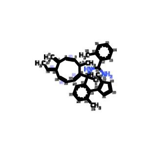 C=C1/C=C\C(C)\C(C(C)(NC(N)c2ccccc2C)c2cccc(C)c2C2=C(C)C=C=C2)=C/C=C\C1=C\C